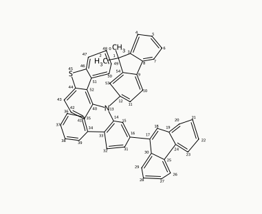 CC1(C)c2ccccc2-c2ccc(N(c3cc(-c4cc5ccccc5c5ccccc45)ccc3-c3ccccc3)c3cccc4sc5ccccc5c34)cc21